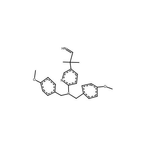 COc1ccc(CN(Cc2ccc(OC)cc2)c2ccc(C(C)(C)C=N)cn2)cc1